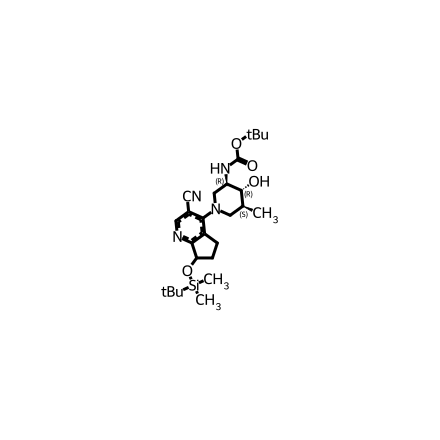 C[C@H]1CN(c2c(C#N)cnc3c2CCC3O[Si](C)(C)C(C)(C)C)C[C@@H](NC(=O)OC(C)(C)C)[C@@H]1O